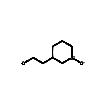 [O]CCC1CCC[S+]([O-])C1